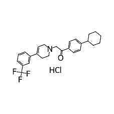 Cl.O=C(CN1CC=C(c2cccc(C(F)(F)F)c2)CC1)c1ccc(C2CCCCC2)cc1